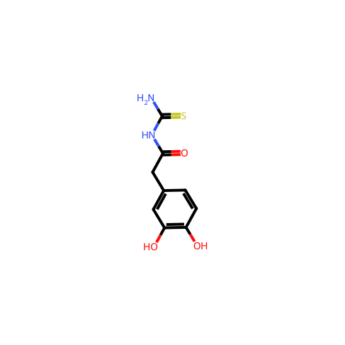 NC(=S)NC(=O)Cc1ccc(O)c(O)c1